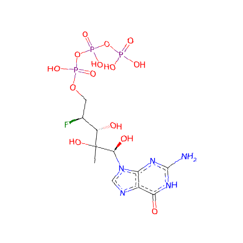 CC(O)([C@@H](O)[C@@H](F)COP(=O)(O)OP(=O)(O)OP(=O)(O)O)[C@@H](O)n1cnc2c(=O)[nH]c(N)nc21